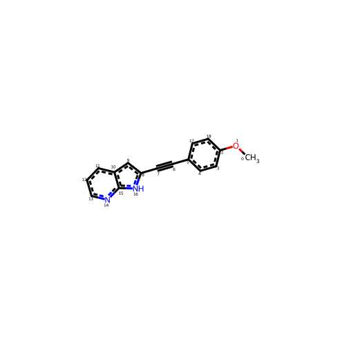 COc1ccc(C#Cc2cc3cccnc3[nH]2)cc1